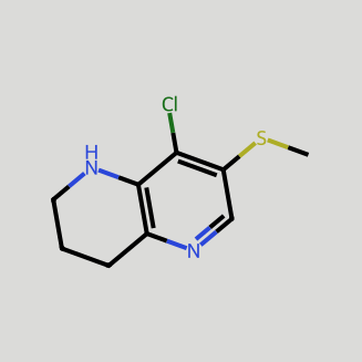 CSc1cnc2c(c1Cl)NCCC2